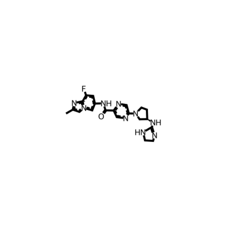 Cc1cn2cc(NC(=O)c3cnc(N4CC[C@@H](NC5=NCCN5)C4)cn3)cc(F)c2n1